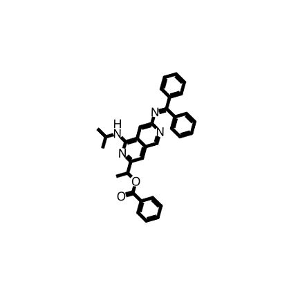 CC(C)Nc1nc(C(C)OC(=O)c2ccccc2)cc2cnc(N=C(c3ccccc3)c3ccccc3)cc12